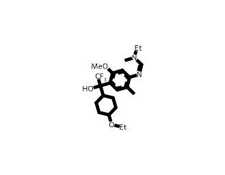 CCOC1CCC(C(O)(c2cc(C)c(/N=C\N(C)CC)cc2OC)C(F)(F)F)CC1